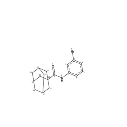 O=C(Nc1cccc(Br)c1)C12CC3CC(CC(C3)C1)C2